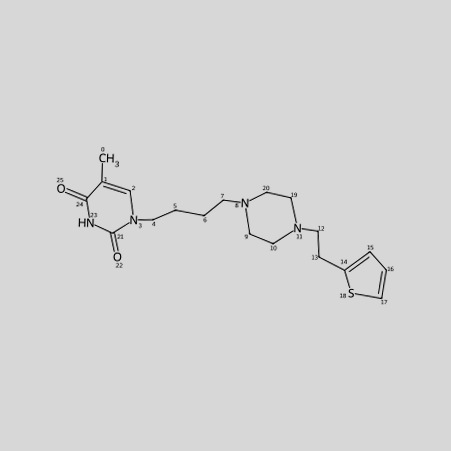 Cc1cn(CCCCN2CCN(CCc3cccs3)CC2)c(=O)[nH]c1=O